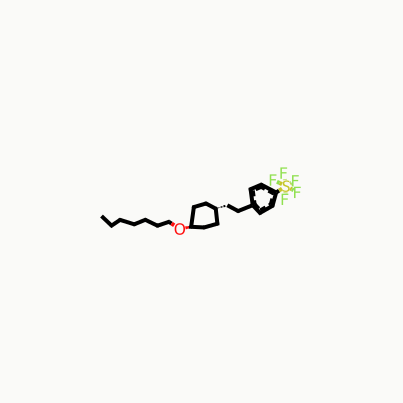 CCCCCCCO[C@H]1CC[C@H](CCc2ccc(S(F)(F)(F)(F)F)cc2)CC1